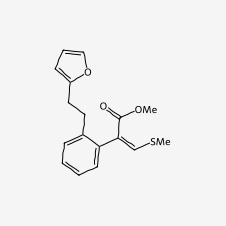 COC(=O)C(=CSC)c1ccccc1CCc1ccco1